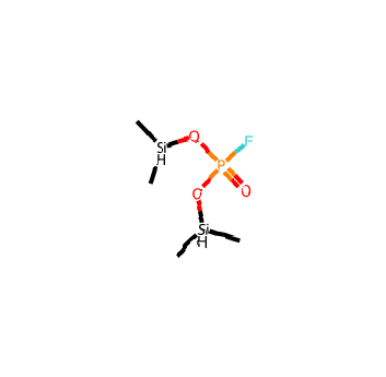 C[SiH](C)OP(=O)(F)O[SiH](C)C